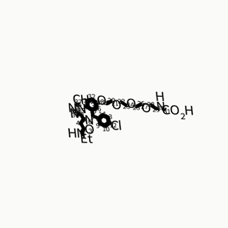 CCNC(=O)CC1N=C(c2ccc(Cl)cc2)c2cc(OCCOCCOCCOCCNC(=O)O)ccc2-n2c(C)nnc21